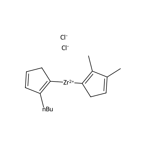 CCCCC1=[C]([Zr+2][C]2=C(C)C(C)=CC2)CC=C1.[Cl-].[Cl-]